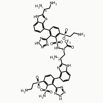 NCCS(=O)(=O)c1ccc(-c2cccc3[nH]c([C@H](N)CN(NS(=O)(=O)c4c(S(=O)(=O)CCN)ccc(-c5cccc6[nH]c([C@H](N)CN)nc56)c4-c4nn[nH]n4)C(=O)C(F)(F)F)nc23)c(-c2nn[nH]n2)c1S(N)(=O)=O